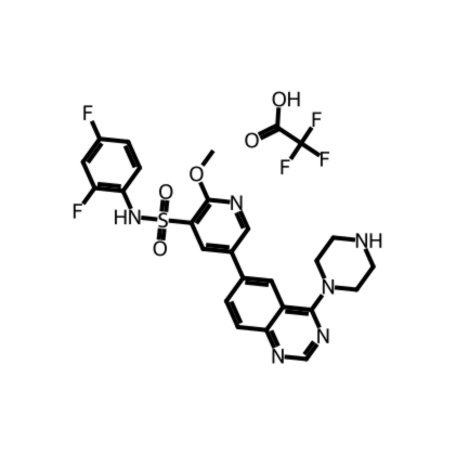 COc1ncc(-c2ccc3ncnc(N4CCNCC4)c3c2)cc1S(=O)(=O)Nc1ccc(F)cc1F.O=C(O)C(F)(F)F